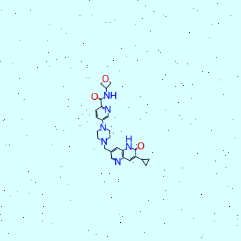 O=C(NC1COC1)c1ccc(N2CCN(Cc3cnc4cc(C5CC5)c(=O)[nH]c4c3)CC2)cn1